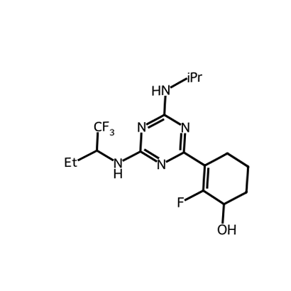 CCC(Nc1nc(NC(C)C)nc(C2=C(F)C(O)CCC2)n1)C(F)(F)F